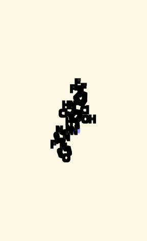 Oc1c(/C=N\Nc2ncc(F)c(N3CCOCC3)n2)cc(Cl)c(Nc2cccc(C(F)(F)F)c2)c1Cl